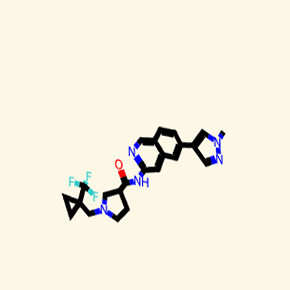 Cn1cc(-c2ccc3cnc(NC(=O)C4CCN(CC5(C(F)(F)F)CC5)C4)cc3c2)cn1